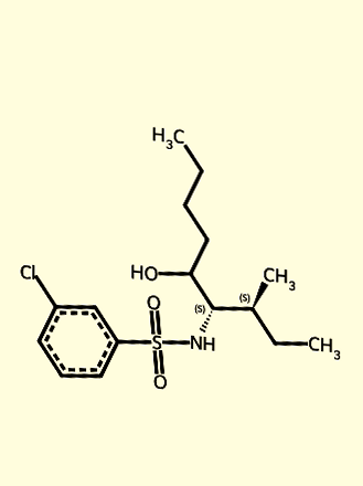 CCCCC(O)[C@@H](NS(=O)(=O)c1cccc(Cl)c1)[C@@H](C)CC